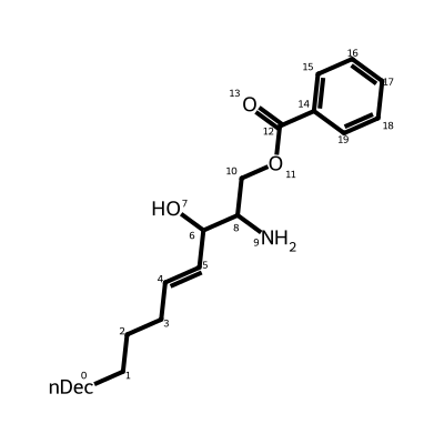 CCCCCCCCCCCCCC=CC(O)C(N)COC(=O)c1ccccc1